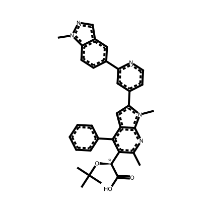 Cc1nc2c(cc(-c3ccnc(-c4ccc5c(cnn5C)c4)c3)n2C)c(-c2ccccc2)c1[C@H](OC(C)(C)C)C(=O)O